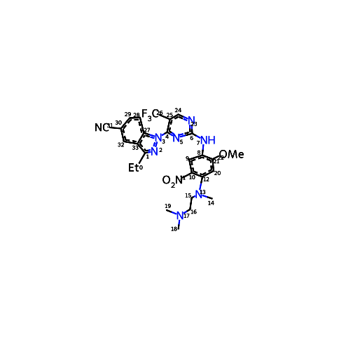 CCc1nn(-c2nc(Nc3cc([N+](=O)[O-])c(N(C)CCN(C)C)cc3OC)ncc2C(F)(F)F)c2ccc(C#N)cc12